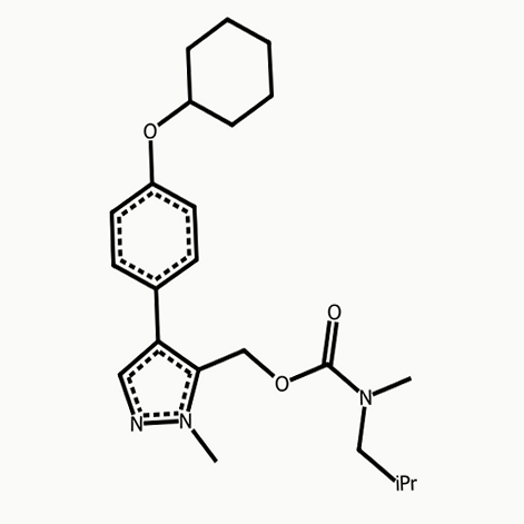 CC(C)CN(C)C(=O)OCc1c(-c2ccc(OC3CCCCC3)cc2)cnn1C